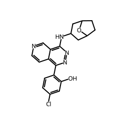 Oc1cc(Cl)ccc1-c1nnc(NC2CC3CCC(C2)O3)c2cnccc12